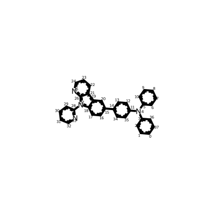 c1ccc(N(c2ccccc2)c2ccc(-c3ccc4c(c3)c3cccnc3n4-c3ccccn3)cc2)cc1